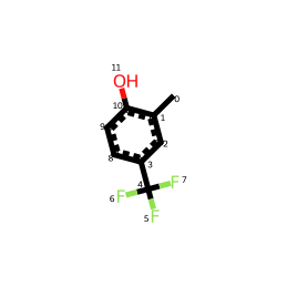 Cc1cc(C(F)(F)F)ccc1O